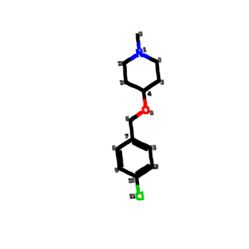 CN1CCC(OCc2ccc(Cl)cc2)CC1